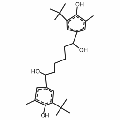 Cc1cc(C(O)CCCCC(O)c2cc(C)c(O)c(C(C)(C)C)c2)cc(C(C)(C)C)c1O